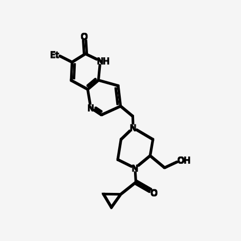 CCc1cc2ncc(CN3CCN(C(=O)C4CC4)C(CO)C3)cc2[nH]c1=O